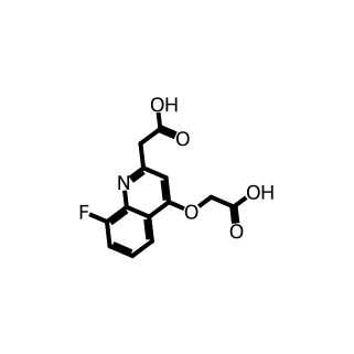 O=C(O)COc1cc(CC(=O)O)nc2c(F)cccc12